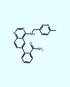 Cc1ccc(CNc2ncnc3ccc(-c4ccccc4C(N)=O)cc23)cn1